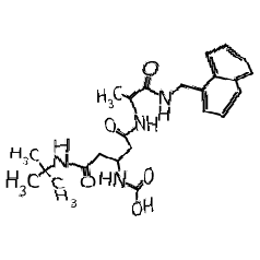 CC(NC(=O)CC(CC(=O)NC(C)(C)C)NC(=O)O)C(=O)NCc1cccc2ccccc12